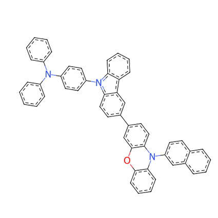 c1ccc(N(c2ccccc2)c2ccc(-n3c4ccccc4c4cc(-c5ccc6c(c5)Oc5ccccc5N6c5ccc6ccccc6c5)ccc43)cc2)cc1